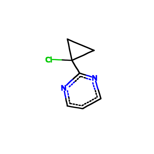 ClC1(c2ncccn2)CC1